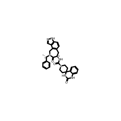 C[C@@H](c1ccccc1)N1Cc2c(ccc3[nH]ncc23)C[C@@H](NC(=O)N2CCC3(CC2)NC(=O)Nc2ccccc23)C1=O